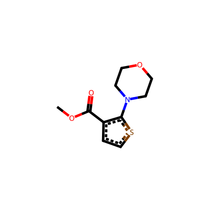 COC(=O)c1ccsc1N1CCOCC1